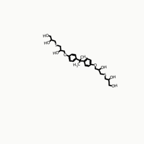 CC(C)(c1ccc(OCC(O)CSCC(O)CO)cc1)c1ccc(OCC(O)CSCC(O)CO)cc1